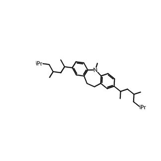 CC(C)CC(C)CC(C)c1ccc2c(c1)CCc1cc(C(C)CC(C)CC(C)C)ccc1N2C